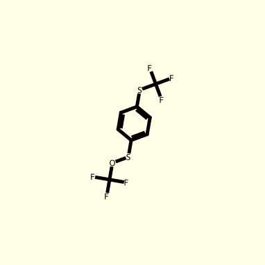 FC(F)(F)OSc1ccc(SC(F)(F)F)cc1